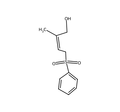 CC(=CCS(=O)(=O)c1ccccc1)CO